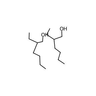 CCCCC(CC)CO.CCCCC(CC)CO